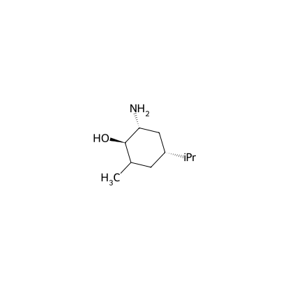 CC(C)[C@@H]1CC(C)[C@@H](O)[C@H](N)C1